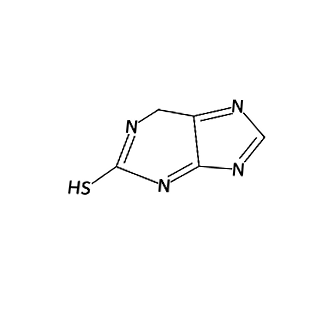 SC1=NCC2=NC=NC2=N1